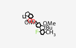 COC(=O)[C@@H]1CC[C@@]12CCc1ccc(OCc3ccc(-c4cc(C)ccc4F)c([C@@H](OC)C(C)(C)C)c3)cc12